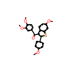 COc1ccc(-c2sc3cc(OC)ccc3c2C(=O)c2ccc(OC)c(OC)c2)cc1